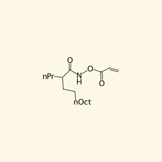 C=CC(=O)ONC(=O)C(CCC)CCCCCCCCCC